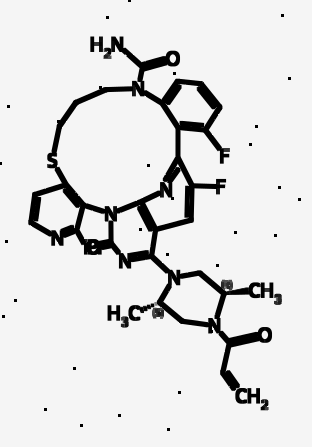 C=CC(=O)N1C[C@H](C)N(c2nc(=O)n3c4nc(c(F)cc24)-c2c(F)cccc2N(C(N)=O)CCCSc2ccnc(C(C)C)c2-3)C[C@H]1C